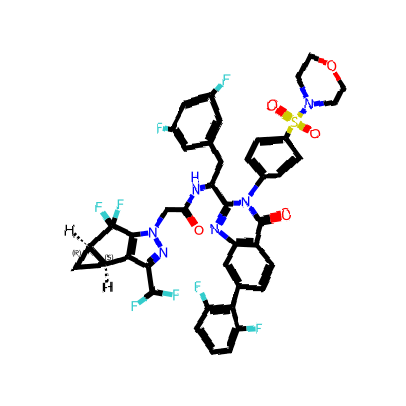 O=C(Cn1nc(C(F)F)c2c1C(F)(F)[C@@H]1C[C@H]21)NC(Cc1cc(F)cc(F)c1)c1nc2cc(-c3c(F)cccc3F)ccc2c(=O)n1-c1ccc(S(=O)(=O)N2CCOCC2)cc1